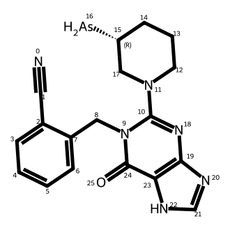 N#Cc1ccccc1Cn1c(N2CCC[C@@H]([AsH2])C2)nc2nc[nH]c2c1=O